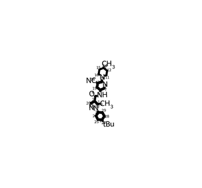 Cc1c(C(=O)Nc2cnc(N3CCC(C)CC3)c(C#N)c2)cnn1-c1ccc(C(C)(C)C)cc1